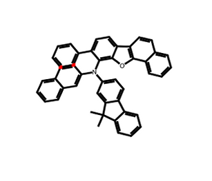 CC1(C)c2ccccc2-c2ccc(N(c3ccc4ccccc4c3)c3c(-c4ccccc4)ccc4c3oc3c5ccccc5ccc43)cc21